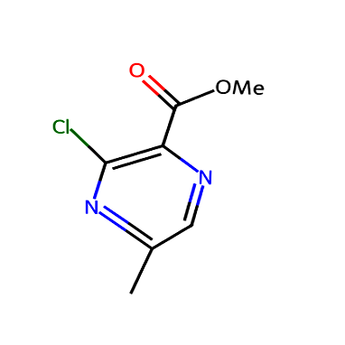 COC(=O)c1ncc(C)nc1Cl